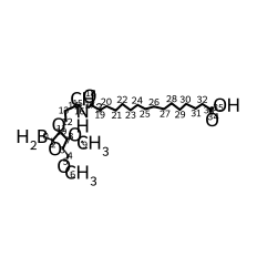 B[C@@H]1O[C@H](COC)[C@H](OC)C1OCCC(C)NC(=O)CCCCCCCCCCCCCCC(=O)O